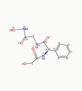 [O]CC(=O)N[C@@H](C(=O)NCC(=O)NO)c1ccccc1